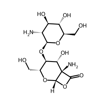 N[C@H]1[C@H](O[C@@H]2[C@@H](CO)O[C@H]3OC(=O)[C@@]3(N)[C@H]2O)O[C@H](CO)[C@@H](O)[C@@H]1O